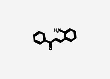 Nc1ccccc1/C=C/C(=O)c1ccccc1